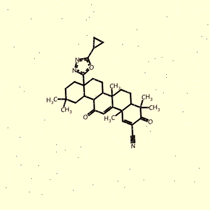 CC1(C)CCC2(c3nnc(C4CC4)o3)CCC3C(C(=O)C=C4C5(C)C=C(C#N)C(=O)C(C)(C)C5CCC43C)C2C1